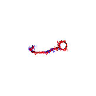 CO[C@H]1C[C@@H]2CC[C@@H](C)[C@@](O)(O2)C(=O)C(=O)N2CCCC[C@H]2C(=O)O[C@H]([C@H](N)C[C@@H]2CC[C@@H](OC(=O)NCc3cnc(N4CCN(c5ncc(C(=O)NCCOCCOCCOCCOCCC(=O)N6CCc7cc(Cn8nc(-c9cnc%10[nH]ccc%10c9)c9c(N)ncnc98)ccc7C6)cn5)CC4)nc3)[C@H](OC)C2)CC(=O)[C@H](C)/C=C(\C)[C@@H](O)[C@@H](OC)C(=O)[C@H](C)C[C@H](C)/C=C/C=C/C=C/1C